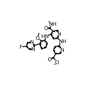 CNC(=O)c1cnc(Nc2ccc(C(=O)OC)cn2)cc1Nc1cccc(-c2ncc(F)cn2)c1OC